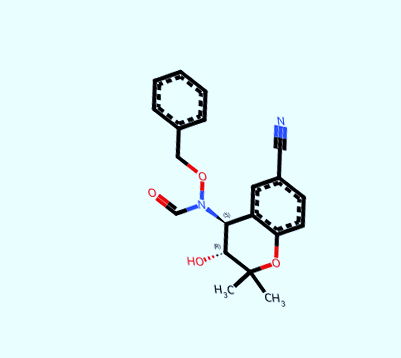 CC1(C)Oc2ccc(C#N)cc2[C@H](N(C=O)OCc2ccccc2)[C@H]1O